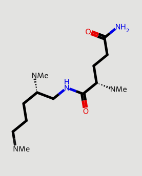 CNCCC[C@@H](CNC(=O)[C@H](CCC(N)=O)NC)NC